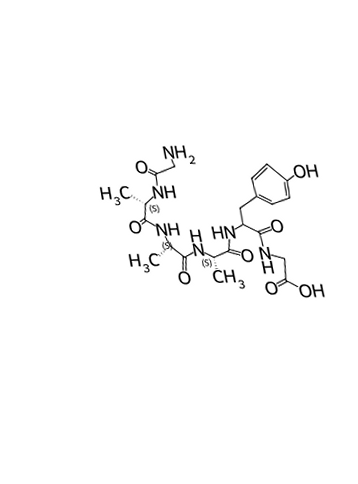 C[C@H](NC(=O)CN)C(=O)N[C@@H](C)C(=O)N[C@@H](C)C(=O)NC(Cc1ccc(O)cc1)C(=O)NCC(=O)O